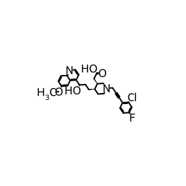 COc1ccc2nccc([C@@H](O)CC[C@@H]3CCN(CC#Cc4ccc(F)cc4Cl)C[C@@H]3CC(=O)O)c2c1